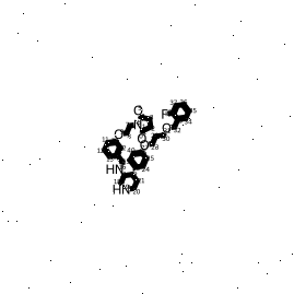 O=C1CCC(=O)N1CCOc1cccc(CN[C@H]2CNCC[C@H]2c2ccc(OCCCOCc3ccccc3F)cc2)c1